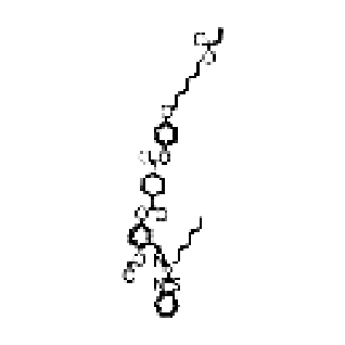 C=CC(=O)OCCCCCCOc1ccc(OC(=O)[C@H]2CC[C@H](C(=O)Oc3ccc(OC=O)c(/C=N/N(CCCCCC)c4nc5ccccc5s4)c3)CC2)cc1